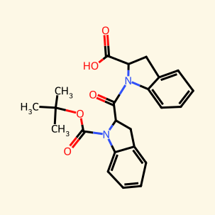 CC(C)(C)OC(=O)N1c2ccccc2CC1C(=O)N1c2ccccc2CC1C(=O)O